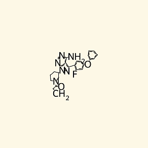 C=CC(=O)N1CCCC(n2nc(-c3ccc(Oc4ccccc4)cc3F)c3c(N)ncnc32)C1